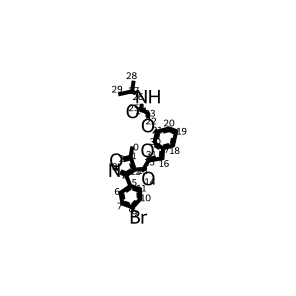 Cc1onc(-c2ccc(Br)cc2)c1C(=O)c1cc2cccc(OCC(=O)NC(C)C)c2o1